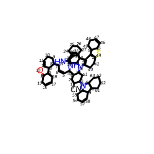 N#CC1CC(C2C=CC(C3CCC=C4OC5CC=CCC5C43)NC(C3CCCCC3)N2)C(N2C3=C(C4C=CC=CC42)C2C(CC3)SC3C=CCCC32)CC1N1C2CCC=CC2C2CCCCC21